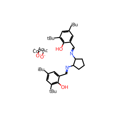 CC(=O)[O-].CC(=O)[O-].CCC(C)c1cc(C=NC2CCCC2N=Cc2cc(C(C)CC)cc(C(C)(C)C)c2O)c(O)c(C(C)(C)C)c1.[Co+2]